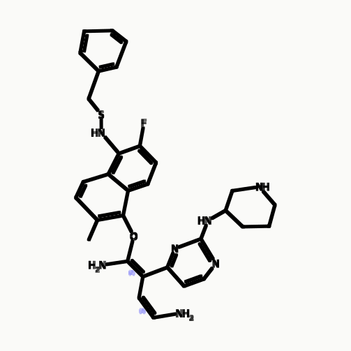 Cc1ccc2c(NSCc3ccccc3)c(F)ccc2c1O/C(N)=C(/C=C\N)c1ccnc(NC2CCCNC2)n1